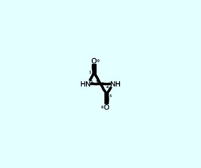 O=C1NC12NC2=O